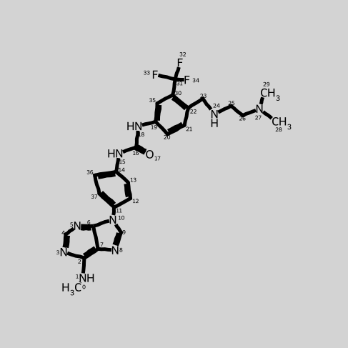 CNc1ncnc2c1ncn2-c1ccc(NC(=O)Nc2ccc(CNCCN(C)C)c(C(F)(F)F)c2)cc1